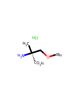 CC(C)(C)OC[C@](C)(N)C(=O)O.Cl